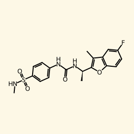 CNS(=O)(=O)c1ccc(NC(=O)N[C@H](C)c2oc3ccc(F)cc3c2C)cc1